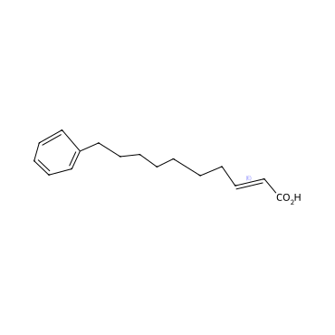 O=C(O)/C=C/CCCCCCCc1ccccc1